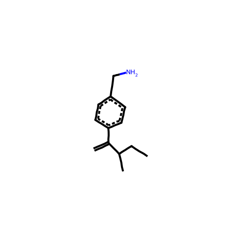 C=C(c1ccc(CN)cc1)C(C)CC